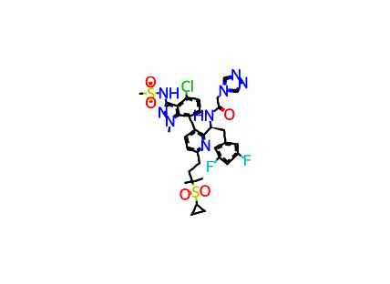 Cn1nc(NS(C)(=O)=O)c2c(Cl)ccc(-c3ccc(CCC(C)(C)S(=O)(=O)C4CC4)nc3[C@H](Cc3cc(F)cc(F)c3)NC(=O)Cn3cnnc3)c21